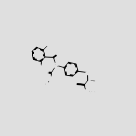 COC(=O)[C@H](C)Nc1ccc(N(C(=O)OC(C)(C)C)C(=O)c2c(Cl)cccc2Cl)cc1